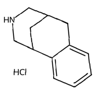 Cl.c1ccc2c(c1)CC1CNCC2C1